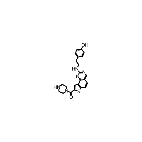 O=C(c1cc2c(ccc3cnc(NCCc4ccc(O)cc4)nc32)s1)N1CCNCC1